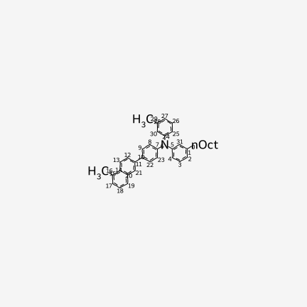 CCCCCCCCc1cccc(N(c2ccc(-c3ccc4c(C)cccc4c3)cc2)c2cccc(C)c2)c1